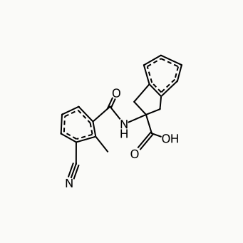 Cc1c(C#N)cccc1C(=O)NC1(C(=O)O)Cc2ccccc2C1